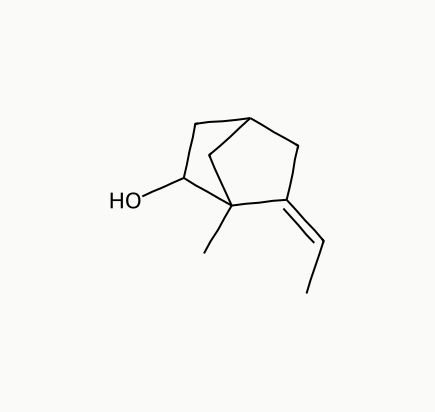 CC=C1CC2CC(O)C1(C)C2